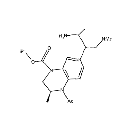 CNCC(c1ccc2c(c1)N(C(=O)OC(C)C)C[C@H](C)N2C(C)=O)C(C)N